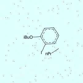 CC(C)COc1ccccc1I.CCCC